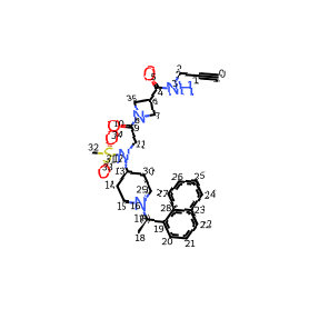 C#CCNC(=O)C1CN(C(=O)CN(C2CCN([C@H](C)c3cccc4ccccc34)CC2)S(C)(=O)=O)C1